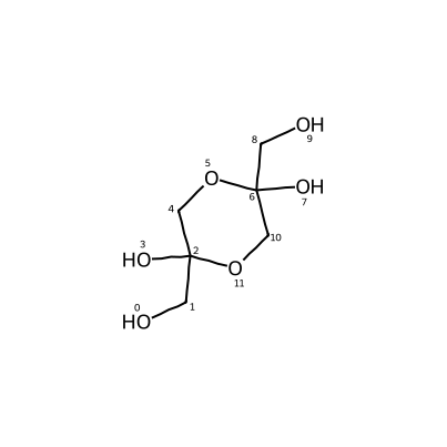 OCC1(O)COC(O)(CO)CO1